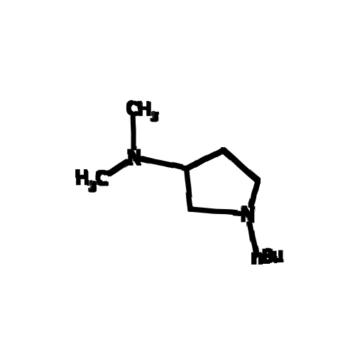 [CH2]CCCN1CCC(N(C)C)C1